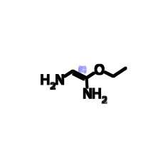 CCO/C(N)=C/N